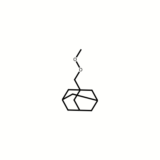 COOCC12CC3CC(CC(C3)C1)C2